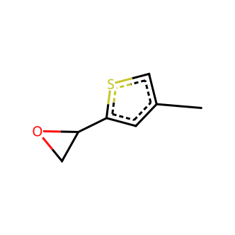 Cc1csc(C2CO2)c1